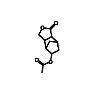 CC(=O)OC1CC2CC1C1COC(=O)C21